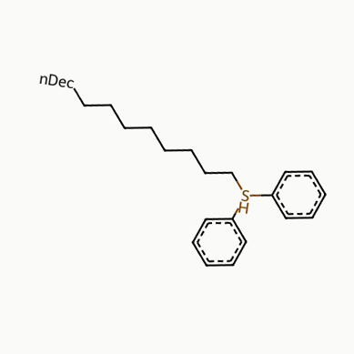 CCCCCCCCCCCCCCCCCC[SH](c1ccccc1)c1ccccc1